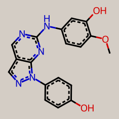 COc1ccc(Nc2ncc3cnn(-c4ccc(O)cc4)c3n2)cc1O